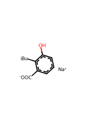 CCC(C)c1c(O)cccc1C(=O)[O-].[Na+]